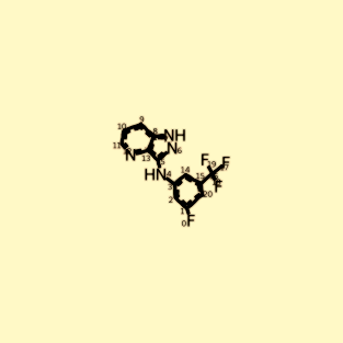 Fc1cc(Nc2n[nH]c3cccnc23)cc(C(F)(F)F)c1